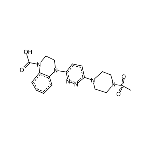 CS(=O)(=O)N1CCN(c2ccc(N3CCN(C(=O)O)c4ccccc43)nn2)CC1